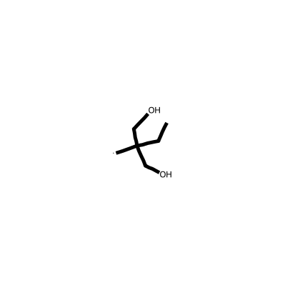 [CH2]C(CC)(CO)CO